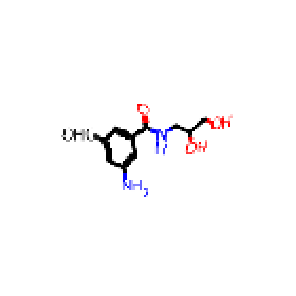 Nc1cc(C=O)cc(C(=O)NCC(O)CO)c1